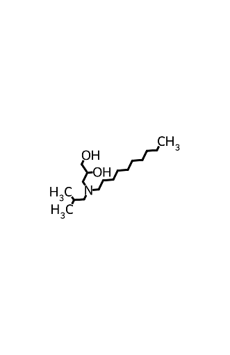 CCCCCCCCCCN(CC(C)C)CC(O)CO